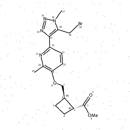 COC(=O)[C@@H]1CC[C@H]1COc1ccc(-c2nnn(C)c2CBr)nc1C